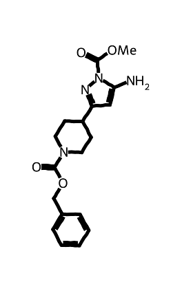 COC(=O)n1nc(C2CCN(C(=O)OCc3ccccc3)CC2)cc1N